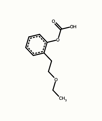 CCOCCc1ccccc1OC(=O)O